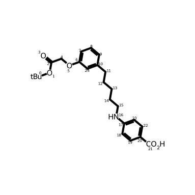 CC(C)(C)OC(=O)COc1cccc(CCCCCNc2ccc(C(=O)O)cc2)c1